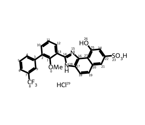 COc1c(-c2cccc(C(F)(F)F)c2)cccc1-c1nc2c(ccc3cc(S(=O)(=O)O)cc(O)c32)[nH]1.Cl